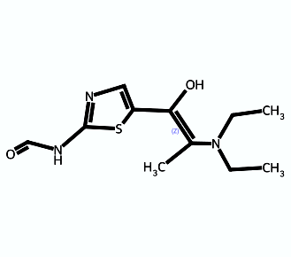 CCN(CC)/C(C)=C(\O)c1cnc(NC=O)s1